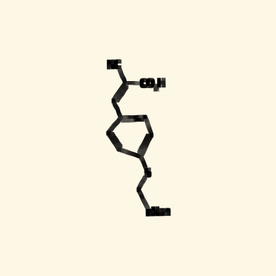 CCCCCCCCCCSc1ccc(C=C(C#N)C(=O)O)cc1